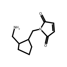 NCC1CCCC1CN1C(=O)C=CC1=O